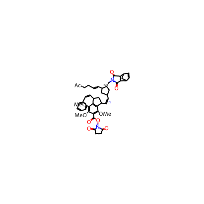 COc1c(OC)c2c(c(OC)c1C(=O)ON1C(=O)CCC1=O)C(/C=C\C1CC(C=CCCC(C)=O)[C@@H](CN3C(=O)C4C5C=CC(C5)C4C3=O)C1)CC2C=Cc1ccccc1